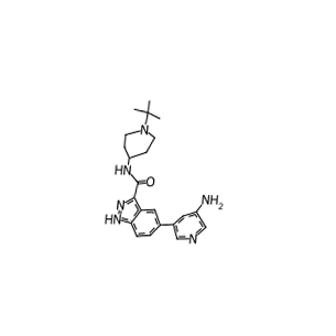 CC(C)(C)N1CCC(NC(=O)c2n[nH]c3ccc(-c4cncc(N)c4)cc23)CC1